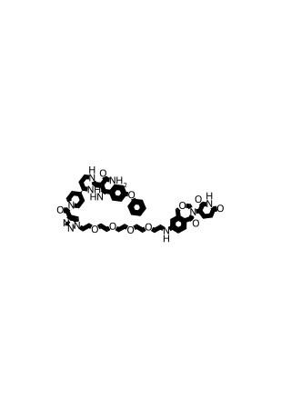 N=C(/C(C(N)=O)=C1/NCC[C@@H](C2CCN(C(=O)c3cn(CCOCCOCCOCCOCCNc4ccc5c(c4)COCN(C4CCC(=O)NC4=O)C5=O)nn3)CC2)N1)c1ccc(Oc2ccccc2)cc1